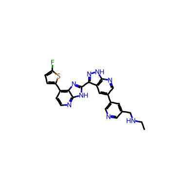 CCNCc1cncc(-c2cnc3[nH]nc(-c4nc5c(-c6ccc(F)s6)ccnc5[nH]4)c3c2)c1